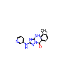 Cc1cccc(C(=O)n2nc(Nc3cccnc3)nc2N)c1